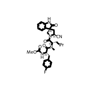 COC(=O)N[C@@H](Cc1ccc(F)cc1)C(=O)N(C)[C@@H](CC(C)C)C(=O)N1C[C@]2(C[C@H]1C#N)C(=O)Nc1ccccc12